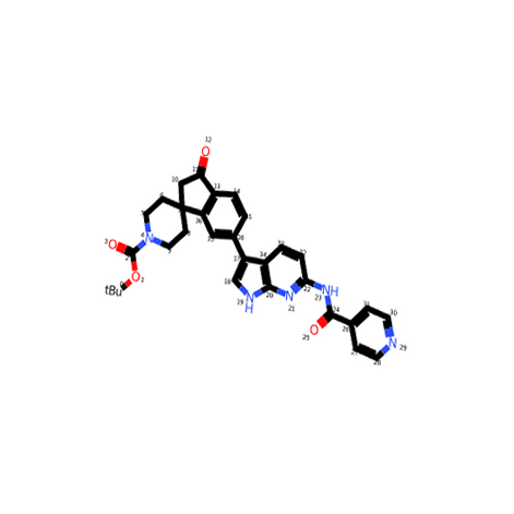 CC(C)(C)OC(=O)N1CCC2(CC1)CC(=O)c1ccc(-c3c[nH]c4nc(NC(=O)c5ccncc5)ccc34)cc12